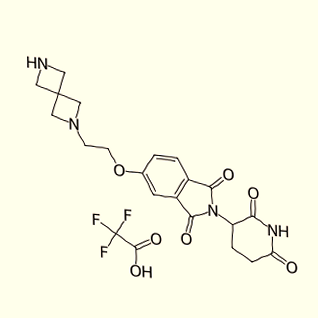 O=C(O)C(F)(F)F.O=C1CCC(N2C(=O)c3ccc(OCCN4CC5(CNC5)C4)cc3C2=O)C(=O)N1